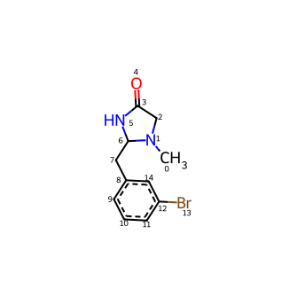 CN1CC(=O)NC1Cc1cccc(Br)c1